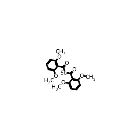 COc1cccc(OC)c1C(=O)[Se]C(=O)c1c(OC)cccc1OC